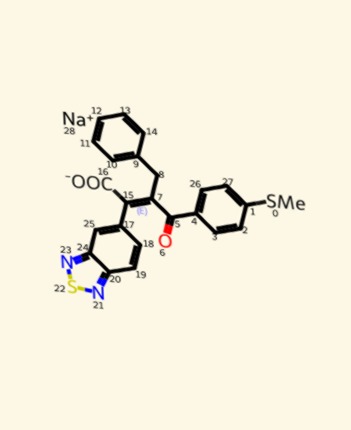 CSc1ccc(C(=O)/C(Cc2ccccc2)=C(/C(=O)[O-])c2ccc3nsnc3c2)cc1.[Na+]